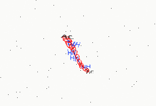 CC(=O)COCCOCCNC(=O)COCCOCCNC(=O)CCCC(=O)NCCOCCOCC(=O)NCCOCCOCC(C)=O